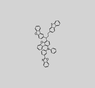 c1ccc(N(c2cccc(-c3nc4ccccc4o3)c2)c2ccc(C(CCc3ccc4c(c3)sc3ccccc34)c3ccc4oc5ccccc5c4c3)c3oc4ccccc4c23)cc1